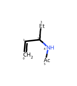 C=CC(CC)NC(C)=O